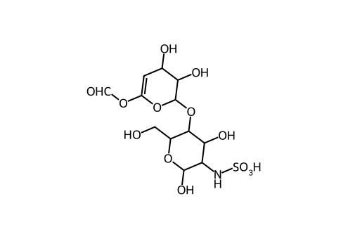 O=COC1=CC(O)C(O)C(OC2C(CO)OC(O)C(NS(=O)(=O)O)C2O)O1